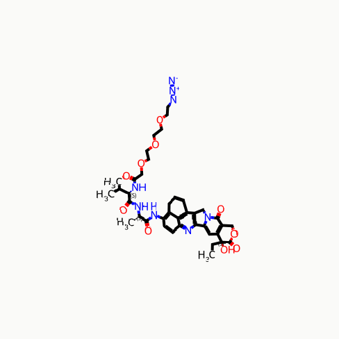 CC[C@@]1(O)C(=O)OCc2c1cc1n(c2=O)Cc2c-1nc1ccc(NC(=O)[C@H](C)NC(=O)[C@@H](NC(=O)COCCOCCOCCN=[N+]=[N-])C(C)C)c3c1c2CCC3